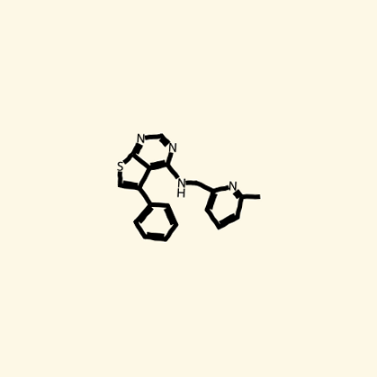 Cc1cccc(CNc2ncnc3scc(-c4ccccc4)c23)n1